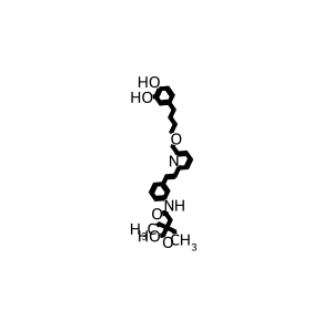 CCC(CC)(CC(=O)Nc1cccc(C=Cc2cccc(COCCCCc3ccc(O)c(O)c3)n2)c1)C(=O)O